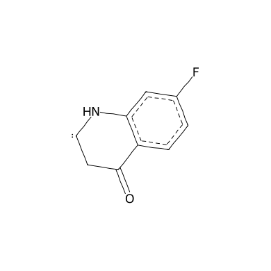 O=C1C[C]Nc2cc(F)ccc21